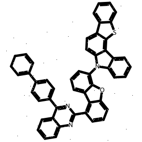 C1=CC(c2ccc(-c3nc(-c4cccc5oc6c(-n7c8ccccc8c8c9sc%10ccccc%10c9ccc87)cccc6c45)nc4ccccc34)cc2)=CCC1